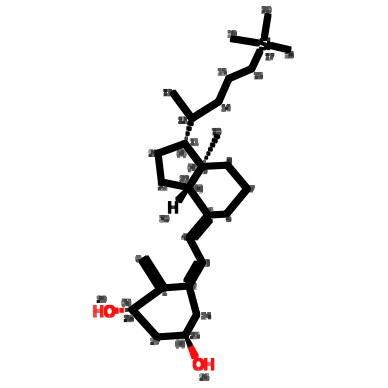 C=C1C(=CC=C2CCC[C@]3(C)[C@@H](C(C)CCC[Si](C)(C)C)CC[C@@H]23)C[C@@H](O)C[C@@H]1O